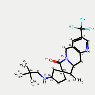 CC1C2Cc3ncc(C(F)(F)F)cc3CN2C(=O)[C@]12CC[C@@H](NCC(C)(C)C)C2